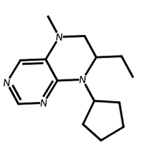 CCC1CN(C)c2cncnc2N1C1CCCC1